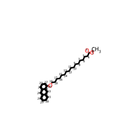 COC(=O)CCCCCCCCCCCCCCCCOc1cccc2cc3ccccc3cc12